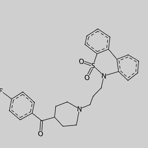 O=C(c1ccc(F)cc1)C1CCN(CCCN2c3ccccc3-c3ccccc3S2(=O)=O)CC1